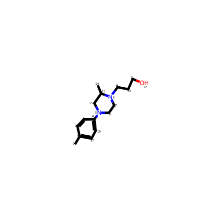 Cc1ccc(N2CCN(CCCO)C(C)C2)cc1